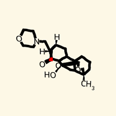 C[C@]12CCCC3(C(=O)OC1)C2C[C@@H](O)[C@@]12CC[C@@H](CC31)[C@@H](CN1CCOCC1)C2=O